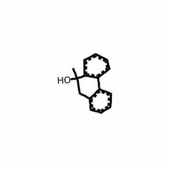 CC1(O)Cc2ccccc2-c2ccccc21